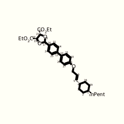 CCCCC[C@H]1CC[C@H](C=CCOc2ccc(-c3ccc(C4O[C@@H](C(=O)OCC)[C@H](C(=O)OCC)O4)cc3)cc2)CC1